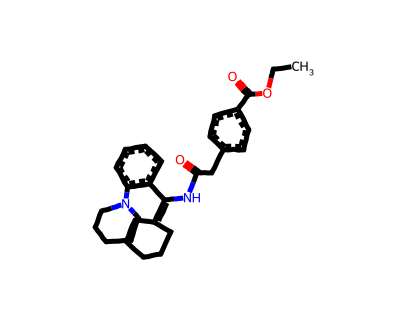 CCOC(=O)c1ccc(CC(=O)NC(=C2CCCCC2)c2ccccc2N2CCCCC2)cc1